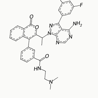 CC(c1oc(=O)c2ccccc2c1-c1cccc(C(=O)NCCN(C)C)c1)n1nc(-c2cc(O)cc(F)c2)c2c(N)ncnc21